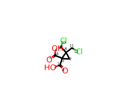 O=C(O)C1(C(=O)O)CC1(CCl)CCl